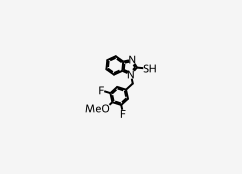 COc1c(F)cc(Cn2c(S)nc3ccccc32)cc1F